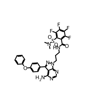 CN(C)S(=O)(=O)c1c(F)c(F)c(F)c(F)c1C(=O)NCCCn1nc(-c2ccc(Oc3ccccc3)cc2)c2c(N)ncnc21